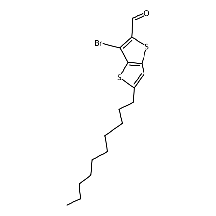 CCCCCCCCCCc1cc2sc(C=O)c(Br)c2s1